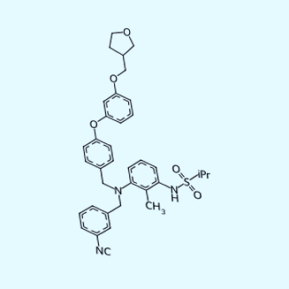 [C-]#[N+]c1cccc(CN(Cc2ccc(Oc3cccc(OCC4CCOC4)c3)cc2)c2cccc(NS(=O)(=O)C(C)C)c2C)c1